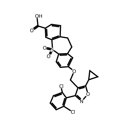 O=C(O)c1ccc2c(c1)S(=O)(=O)c1ccc(OCc3c(-c4c(Cl)cccc4Cl)noc3C3CC3)cc1CC2